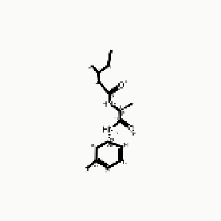 CCC(C)CC(=O)N[C@@H](C)C(=O)N[C@@H]1C=[C]C=C(C)C1